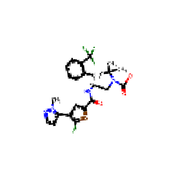 Cn1nccc1-c1cc(C(=O)N[C@H](Cc2ccccc2C(F)(F)F)CN(C(=O)O)C(C)(C)C)sc1Cl